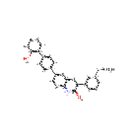 O=C(O)Cc1cccc(-c2cc3cc(-c4ccc(-c5ccccc5O)cc4)ccc3[nH]c2=O)c1